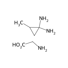 CC1CC1(N)N.NCC(=O)O